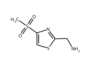 CS(=O)(=O)c1csc(CN)n1